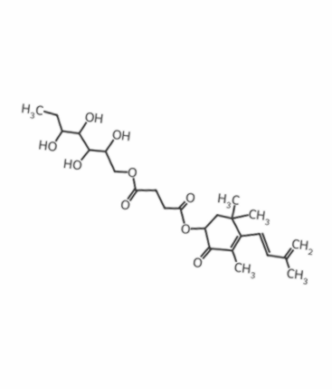 C=C(C)/C=C/C1=C(C)C(=O)C(OC(=O)CCC(=O)OCC(O)C(O)C(O)C(O)CC)CC1(C)C